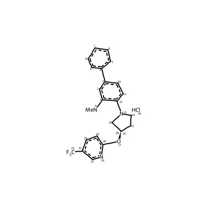 CNc1cc(-c2ccccc2)ccc1N1CC[C@@H](Oc2ccc(C(F)(F)F)cn2)C1.Cl